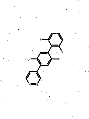 Cc1cc(-c2c(F)cccc2F)c(Cl)cc1-c1ccnnc1